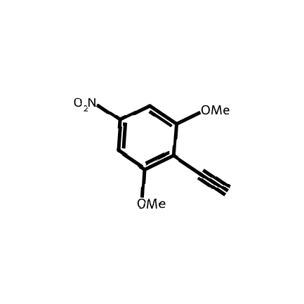 C#Cc1c(OC)cc([N+](=O)[O-])cc1OC